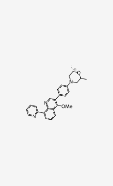 COc1c(-c2ccc(N3CC(C)O[C@@H](C)C3)cc2)cnc2c(-c3ccccn3)cccc12